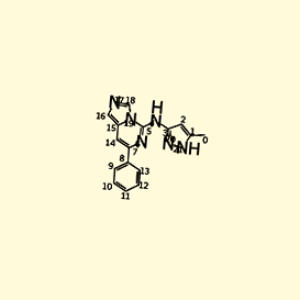 Cc1cc(Nc2nc(-c3ccccc3)cc3cncn23)n[nH]1